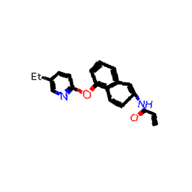 C=CC(=O)Nc1ccc2c(Oc3ccc(CC)cn3)cccc2c1